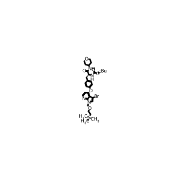 CC(C)(C)OC(=O)N[C@@H](Cc1ccc(Oc2ccnc3c2c(Br)cn3COCCS(C)(C)C)cc1)C(=O)NC1CCOCC1